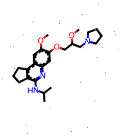 COc1cc2c3c(c(NC(C)C)nc2cc1OCC(CN1CCCC1)OC)CCC3